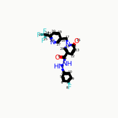 O=C(NNc1ccc(F)cc1)c1ccc(=O)n(Cc2ccc(C(F)(F)F)nc2)c1